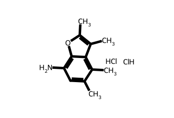 Cc1cc(N)c2oc(C)c(C)c2c1C.Cl.Cl